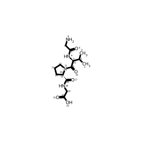 CC(C)[C@H](NC(=O)CN)C(=O)N1CCC[C@H]1C(=O)NCC(=O)O